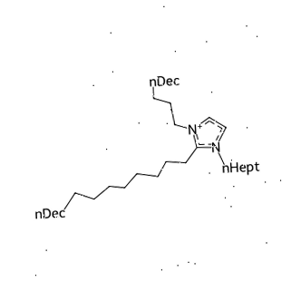 CCCCCCCCCCCCCCCCCCc1n(CCCCCCC)cc[n+]1CCCCCCCCCCCCC